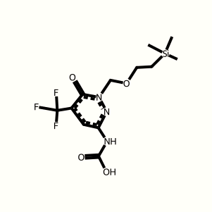 C[Si](C)(C)CCOCn1nc(NC(=O)O)cc(C(F)(F)F)c1=O